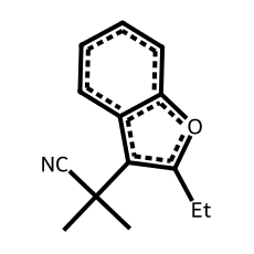 CCc1oc2ccccc2c1C(C)(C)C#N